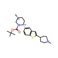 C[C@H]1CC[C@H](c2ccc3sc(C4CCN(C)CC4)cc3c2)N(C(=O)OC(C)(C)C)C1